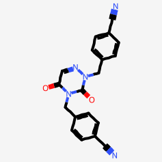 N#Cc1ccc(Cn2ncc(=O)n(Cc3ccc(C#N)cc3)c2=O)cc1